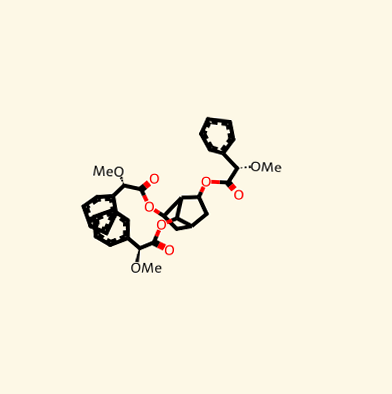 CO[C@H](C(=O)OC1CC2CC(OC(=O)[C@@H](OC)c3ccccc3)C1C2OC(=O)[C@@H](OC)c1ccccc1)c1ccccc1